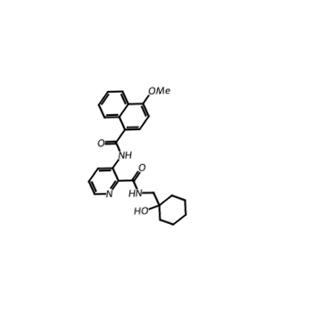 COc1ccc(C(=O)Nc2cccnc2C(=O)NCC2(O)CCCCC2)c2ccccc12